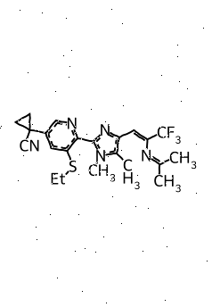 CCSc1cc(C2(C#N)CC2)cnc1-c1nc(/C=C(\N=C(C)C)C(F)(F)F)c(C)n1C